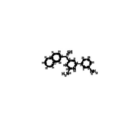 Nc1[c]c(-c2cc([C@@H](S)c3ccc4ccccc4c3)nc(N)n2)ccc1